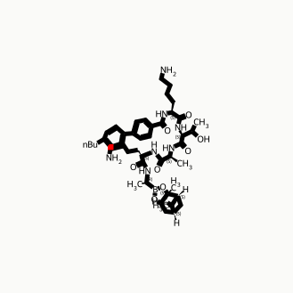 CCCCc1ccc(-c2ccc(C(=O)N[C@@H](CCCCN)C(=O)N[C@H](C(=O)N[C@@H](C)C(=O)N[C@@H](CCCCN)C(=O)N[C@@H](C)B3OC4C[C@@H]5C[C@@H](C5(C)C)[C@]4(C)O3)C(C)O)cc2)cc1